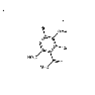 COC(=O)c1c(C(=O)O)cc(Br)c(OC)c1Br